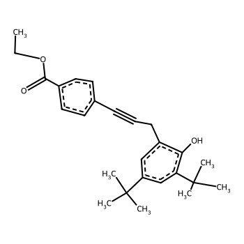 CCOC(=O)c1ccc(C#CCc2cc(C(C)(C)C)cc(C(C)(C)C)c2O)cc1